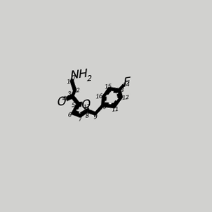 NCCC(=O)c1ccc(Cc2ccc(F)cc2)o1